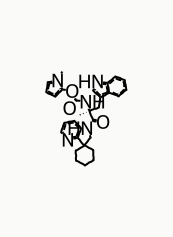 Cn1cccc1OC(=O)N[C@@](C)(Cc1c[nH]c2ccccc12)C(=O)NCC1(c2ccccn2)CCCCC1